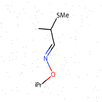 CSC(C)/C=N/OC(C)C